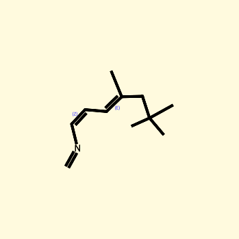 C=N/C=C\C=C(/C)CC(C)(C)C